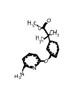 COC(=O)C(C)(C)c1cccc(Oc2cccc(N)n2)c1